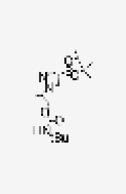 CC(COC(=O)NC(C)(C)C)n1cc(B2OC(C)(C)C(C)(C)O2)cn1